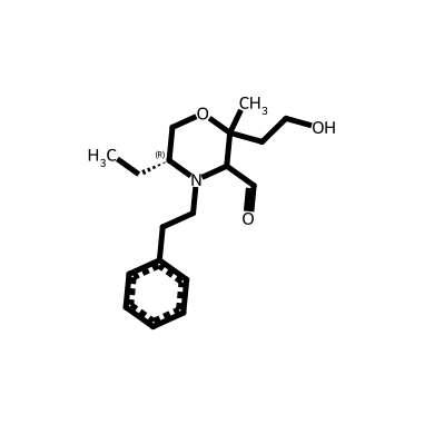 CC[C@@H]1COC(C)(CCO)C(C=O)N1CCc1ccccc1